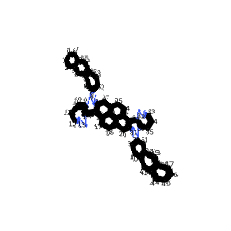 c1ccc2cc3cc(-n4c5cccnc5c5c6ccc7cc8c(c9ccc(cc54)c6c79)c4ncccc4n8-c4ccc5cc6ccccc6cc5c4)ccc3cc2c1